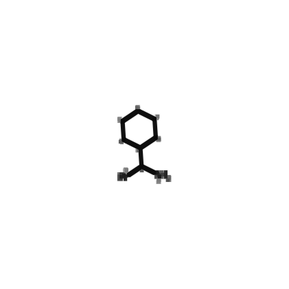 CC(C)C(N)C1CCCCC1